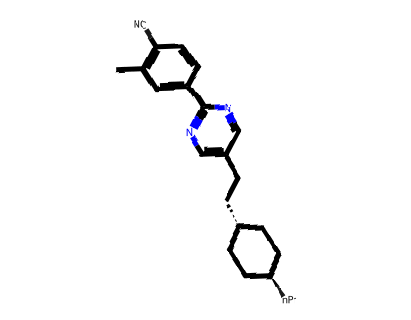 CCC[C@H]1CC[C@H](CCc2cnc(-c3ccc(C#N)c(C)c3)nc2)CC1